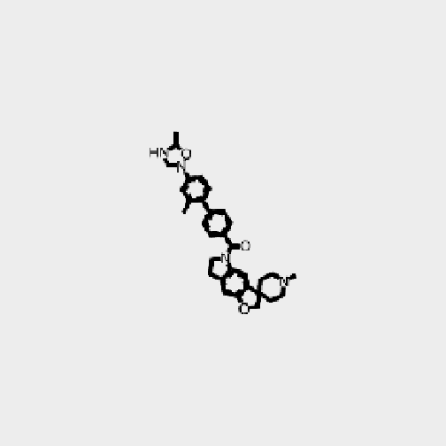 Cc1cc(N2CNC(C)O2)ccc1-c1ccc(C(=O)N2CCc3cc4c(cc32)C2(CCN(C)CC2)CO4)cc1